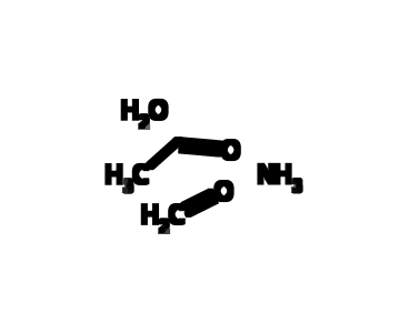 C=O.CC=O.N.O